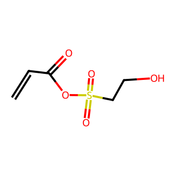 C=CC(=O)OS(=O)(=O)CCO